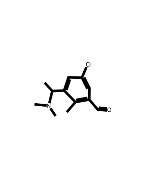 [CH2]C(c1cc(Cl)cc(C=O)c1C)N(C)C